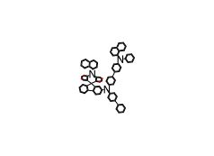 c1ccc(-c2ccc(N(c3ccc(-c4ccc(N(c5ccccc5)c5cccc6ccccc56)cc4)cc3)c3ccc4c(c3)C3(c5ccccc5-4)c4ccccc4N(c4cccc5ccccc45)c4ccccc43)cc2)cc1